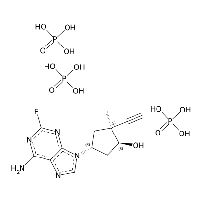 C#C[C@]1(C)C[C@@H](n2cnc3c(N)nc(F)nc32)C[C@@H]1O.O=P(O)(O)O.O=P(O)(O)O.O=P(O)(O)O